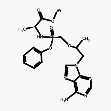 CC(C)OC(=O)[C@H](C)N[P@@](=O)(COC(C)Cn1cnc2c(N)ncnc21)Oc1ccccc1